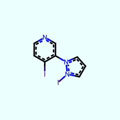 Ic1ccncc1-n1ccc[n+]1I